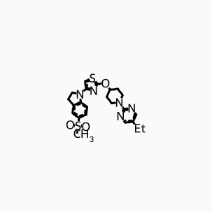 CCc1cnc(N2CCC(Oc3nc(N4CCc5cc(S(C)(=O)=O)ccc54)cs3)CC2)nc1